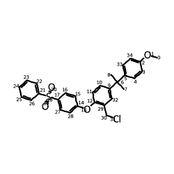 COc1ccc(C(C)(C)c2ccc(Oc3ccc(S(=O)(=O)c4ccccc4)cc3)c(CCl)c2)cc1